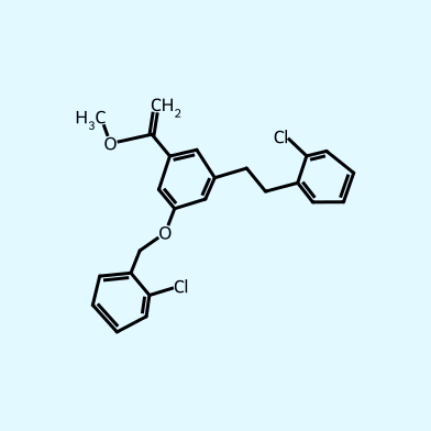 C=C(OC)c1cc(CCc2ccccc2Cl)cc(OCc2ccccc2Cl)c1